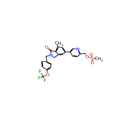 Cc1cc(-c2ccc(COS(C)(=O)=O)nc2)cc2c1C(=O)N(Cc1ccc(OC(F)(F)F)cc1)C2